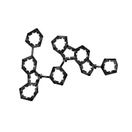 c1ccc(-c2ccc3c4ccccc4n(-c4cccc(-n5c6ccccc6c6ccc7c(ccn7-c7ccccc7)c65)c4)c3c2)cc1